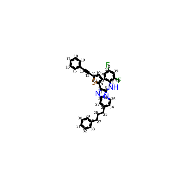 Fc1ccc(Nc2c(-c3ccc(C#Cc4ccccc4)s3)nc3cc(CCCc4ccccc4)ccn23)c(F)c1